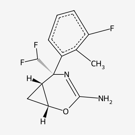 Cc1c(F)cccc1[C@@]1(C(F)F)N=C(N)O[C@@H]2C[C@@H]21